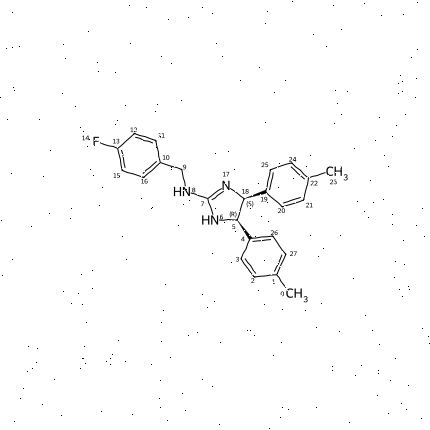 Cc1ccc([C@H]2NC(NCc3ccc(F)cc3)=N[C@H]2c2ccc(C)cc2)cc1